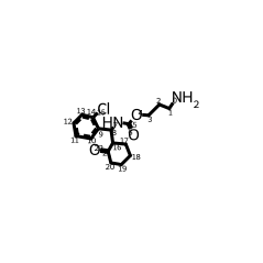 NCCCOC(=O)NC(c1ccccc1Cl)C1CCCCC1=O